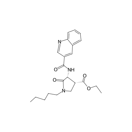 CCCCCN1C[C@@H](C(=O)OCC)[C@@H](NC(=O)c2cnc3ccccc3c2)C1=O